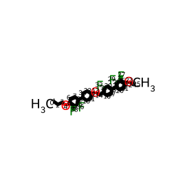 CCCCOc1ccc(C2CCC(OCc3ccc(-c4ccc(OCC)c(F)c4F)cc3F)CC2)c(F)c1F